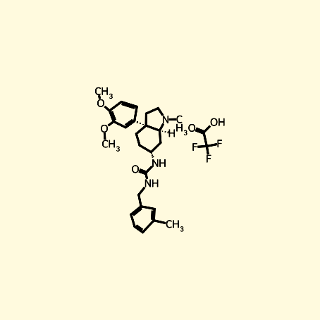 COc1ccc([C@@]23CC[C@@H](NC(=O)NCc4cccc(C)c4)C[C@@H]2N(C)CC3)cc1OC.O=C(O)C(F)(F)F